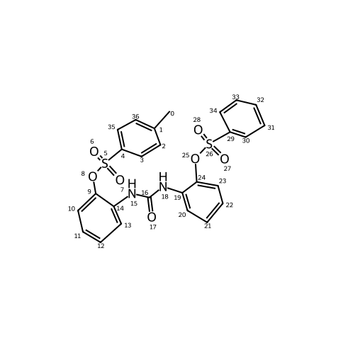 Cc1ccc(S(=O)(=O)Oc2ccccc2NC(=O)Nc2ccccc2OS(=O)(=O)c2ccccc2)cc1